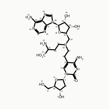 Nc1nc(=O)n([C@@H]2C[C@H](O)[C@@H](CO)O2)cc1CCN(CCC(N)C(=O)O)C[C@H]1O[C@@H](n2cnc3c(N)ncnc32)[C@H](O)[C@@H]1O